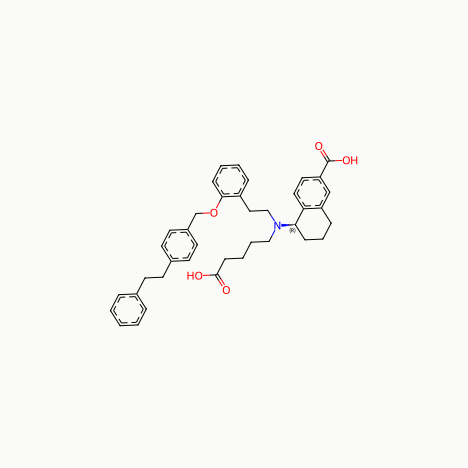 O=C(O)CCCCN(CCc1ccccc1OCc1ccc(CCc2ccccc2)cc1)[C@@H]1CCCc2cc(C(=O)O)ccc21